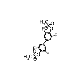 CS(=O)(=O)Oc1c(F)cc(-c2cc(F)c(OS(C)(=O)=O)c(F)c2)cc1F